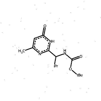 Cc1cc(=O)[nH]c(C(NC(=O)OC(C)(C)C)C(C)C)n1